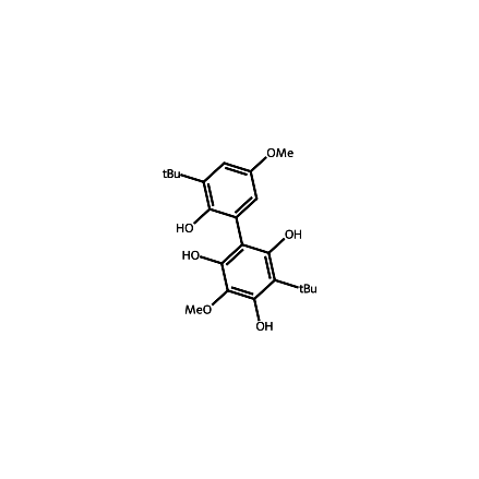 COc1cc(-c2c(O)c(OC)c(O)c(C(C)(C)C)c2O)c(O)c(C(C)(C)C)c1